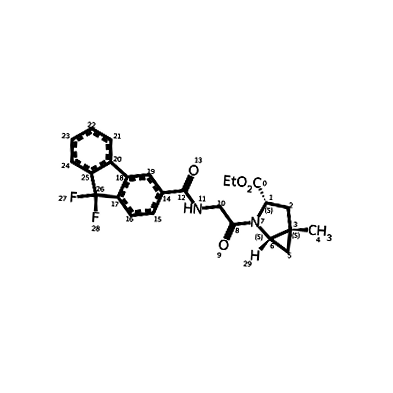 CCOC(=O)[C@@H]1C[C@]2(C)C[C@@H]2N1C(=O)CNC(=O)c1ccc2c(c1)-c1ccccc1C2(F)F